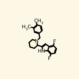 Cc1ccc(CN2CCCCC2c2cc3c(F)ccc(F)c3[nH]2)cc1C